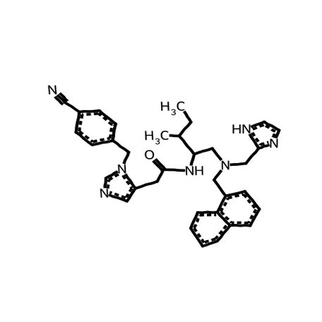 CCC(C)C(CN(Cc1ncc[nH]1)Cc1cccc2ccccc12)NC(=O)Cc1cncn1Cc1ccc(C#N)cc1